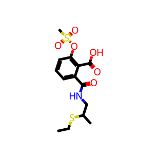 CCSC(C)CNC(=O)c1cccc(OS(C)(=O)=O)c1C(=O)O